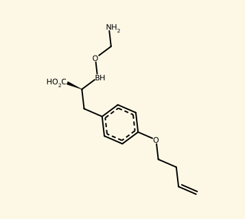 C=CCCOc1ccc(C[C@H](BOCN)C(=O)O)cc1